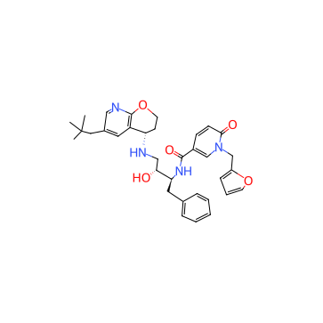 CC(C)(C)Cc1cnc2c(c1)[C@@H](NC[C@@H](O)[C@H](Cc1ccccc1)NC(=O)c1ccc(=O)n(Cc3ccco3)c1)CCO2